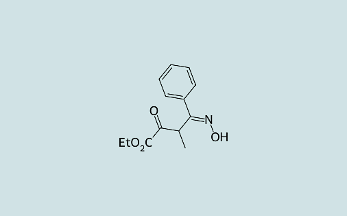 CCOC(=O)C(=O)C(C)C(=NO)c1ccccc1